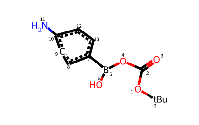 CC(C)(C)OC(=O)OB(O)c1ccc(N)cc1